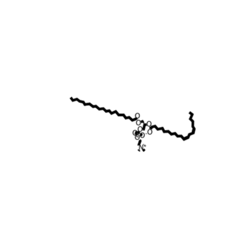 CCCCC/C=C\C/C=C\CCCCCCCCCC(=O)O[C@H](COC(=O)CCCCCCCCCCCCCCCCCCCC)COP(=O)([O-])OCC[N+](C)(C)C